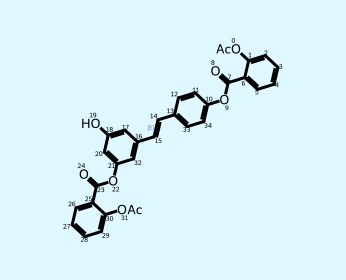 CC(=O)Oc1ccccc1C(=O)Oc1ccc(/C=C/c2cc(O)cc(OC(=O)c3ccccc3OC(C)=O)c2)cc1